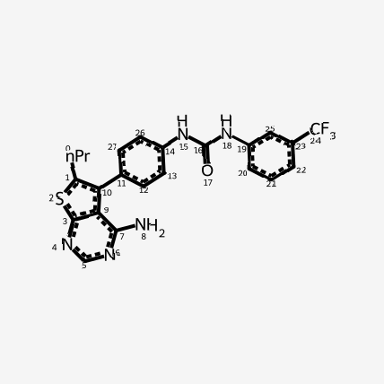 CCCc1sc2ncnc(N)c2c1-c1ccc(NC(=O)Nc2cccc(C(F)(F)F)c2)cc1